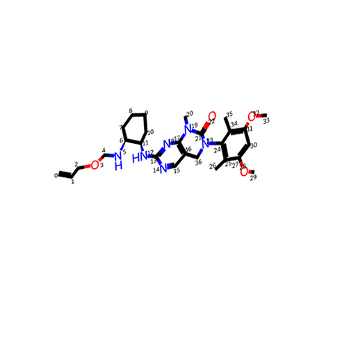 C=CCOCN[C@H]1CCCC[C@H]1Nc1ncc2c(n1)N(C)C(=O)N(c1c(C)c(OC)cc(OC)c1C)C2